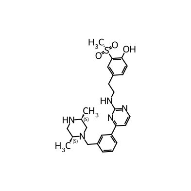 C[C@H]1CN(Cc2cccc(-c3ccnc(NCCc4ccc(O)c(S(C)(=O)=O)c4)n3)c2)[C@@H](C)CN1